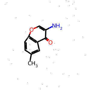 Cc1ccc2occ(N)c(=O)c2c1